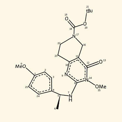 COc1ccc([C@H](C)Nc2nc3c(c(=O)n2OC)CN(C(=O)OC(C)(C)C)CC3)cc1